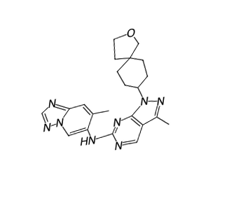 Cc1cc2ncnn2cc1Nc1ncc2c(C)nn(C3CCC4(CCOC4)CC3)c2n1